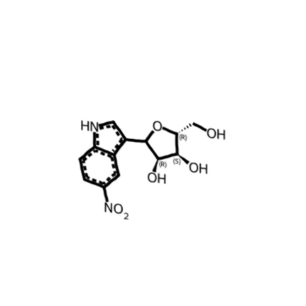 O=[N+]([O-])c1ccc2[nH]cc(C3O[C@H](CO)[C@@H](O)[C@H]3O)c2c1